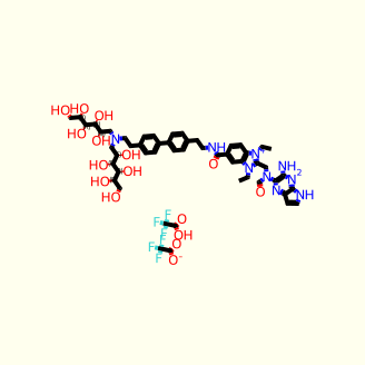 CCn1c(CN(C=O)c2nc3cc[nH]c3nc2N)[n+](CC)c2ccc(C(=O)NCCc3ccc(-c4ccc(CCN(C[C@H](O)[C@@H](O)[C@H](O)[C@H](O)CO)C[C@H](O)[C@@H](O)[C@H](O)[C@H](O)CO)cc4)cc3)cc21.O=C(O)C(F)(F)F.O=C([O-])C(F)(F)F